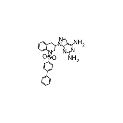 Nc1nc(N)c2cnn(C3Cc4ccccc4N(S(=O)(=O)c4ccc(-c5ccccc5)cc4)C3)c2n1